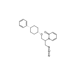 [N-]=[N+]=NCC(CO[C@H]1CC[C@@H](c2ccccc2)CC1)n1ccccc1=O